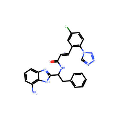 Nc1cccc2nc(C(Cc3ccccc3)NC(=O)/C=C/c3cc(Cl)ccc3-n3cnnn3)[nH]c12